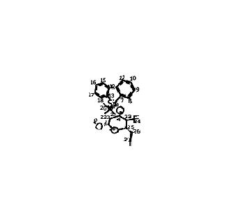 CO[C@@H]1C[C@H](O[Si](c2ccccc2)(c2ccccc2)C(C)(C)C)[C@@H](F)[C@@H](CI)O1